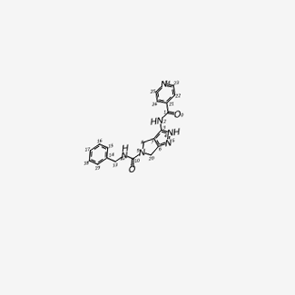 O=C(Nc1[nH]nc2c1CN(C(=O)NCc1ccccc1)C2)c1ccncc1